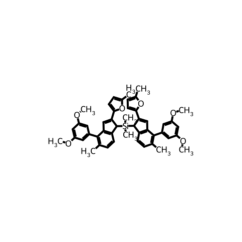 COc1cc(OC)cc(-c2c(C)ccc3c2C=C(c2ccc(C)o2)C3[Si](C)(C)C2C(c3ccc(C)o3)=Cc3c2ccc(C)c3-c2cc(OC)cc(OC)c2)c1